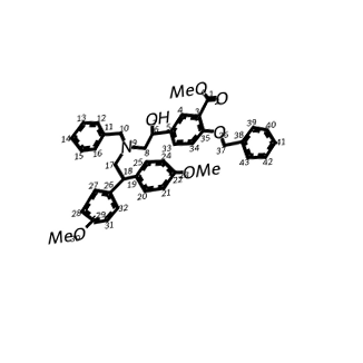 COC(=O)c1cc(C(O)CN(Cc2ccccc2)CC(c2ccc(OC)cc2)c2ccc(OC)cc2)ccc1OCc1ccccc1